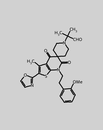 COc1ccccc1CCN1C(=O)C2(CCN(C(C)(C)C=O)CC2)C(=O)c2c1sc(-c1ncco1)c2C